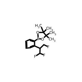 CC1(C)OB(c2ccccc2C(CF)C(F)F)OC1(C)C